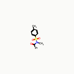 Cc1ccc(S(=O)(=O)N(C)C(=O)C(C)C)cc1